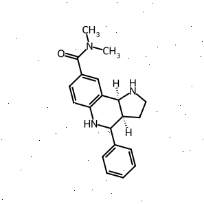 CN(C)C(=O)c1ccc2c(c1)[C@H]1NCC[C@H]1C(c1ccccc1)N2